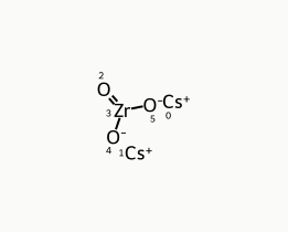 [Cs+].[Cs+].[O]=[Zr]([O-])[O-]